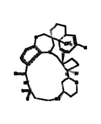 CC12C=CC(Cl)=CC1CCC[C@]21COc2ccc3cc2N(C[C@@H]2CC[C@H]2[C@@H]2C[C@@H](CCO2)OCCS(=O)(=O)NC3=O)C1